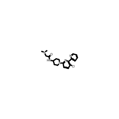 CN(C)CC(=O)NC1CCN(c2ccc(Cl)c(-c3ccccn3)n2)CC1